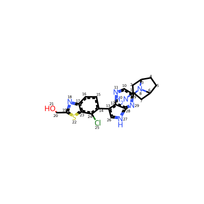 NC1CC2CCC(C1)N2c1cnc2c(-c3ccc4nc(CO)sc4c3Cl)c[nH]c2n1